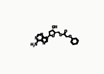 Nc1ncnc2c1ncn2[C@H]1C[C@H](O)[C@@H](COC(=O)COc2ccccc2)O1